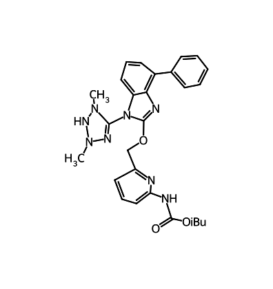 CC(C)COC(=O)Nc1cccc(COc2nc3c(-c4ccccc4)cccc3n2C2=NN(C)NN2C)n1